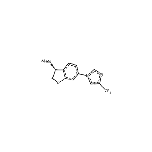 CN[C@@H]1COc2cc(-n3cnc(C(F)(F)F)c3)ccc21